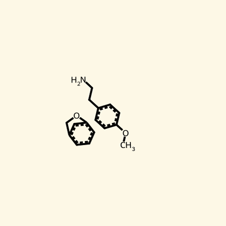 COc1ccc(CCN)cc1.c1cc2cc(c1)OC2